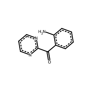 Nc1ccccc1C(=O)c1ncccn1